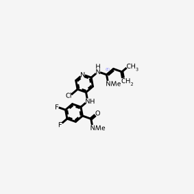 C=C(C)/C=C(\NC)Nc1cc(Nc2cc(F)c(F)cc2C(=O)NC)c(Cl)cn1